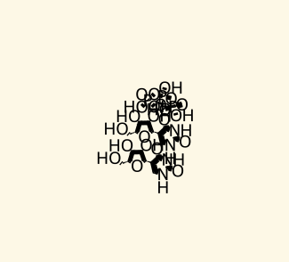 O=P(O)(O)OP(=O)(O)OP(=O)(O)O.O=c1[nH]cc([C@@H]2O[C@H](CO)[C@@H](O)[C@H]2O)c(=O)[nH]1.O=c1[nH]cc([C@@H]2O[C@H](CO)[C@@H](O)[C@H]2O)c(=O)[nH]1